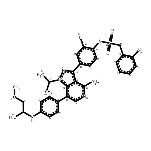 COCC(C)Nc1ccc(-c2cnc(N)c3c(-c4ccc(NS(=O)(=O)Cc5ccccc5Cl)c(F)c4)nn(C(C)C)c23)cc1